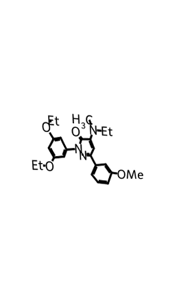 CCOc1cc(OCC)cc(-n2nc(-c3cccc(OC)c3)cc(N(C)CC)c2=O)c1